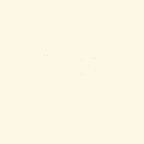 CCCSP(=O)(OCC)Oc1ccc([S+](C)[O-])c(OC)c1